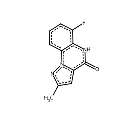 Cc1cc2c(=O)[nH]c3c(F)cccc3n2n1